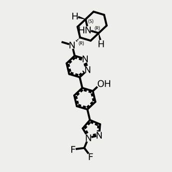 CN(c1ccc(-c2ccc(-c3cnn(C(F)F)c3)cc2O)nn1)[C@H]1C[C@H]2CCC[C@@H](C1)N2